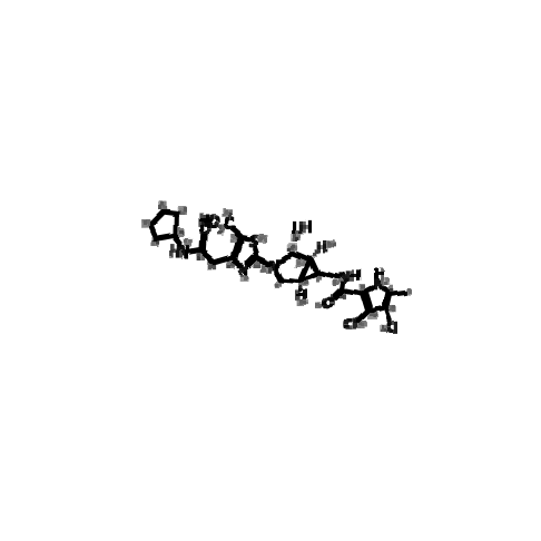 Cc1[nH]c(C(=O)NC2[C@H]3CN(c4nc(CC(=O)NC5CCCC5)c(C(=O)O)s4)C[C@@H]23)c(Cl)c1Cl.[LiH]